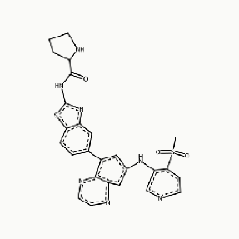 CS(=O)(=O)c1ccncc1Nc1cc(-c2ccc3sc(NC(=O)C4CCCN4)nc3c2)c2nccnc2c1